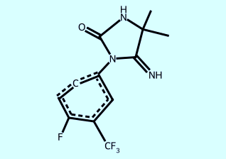 CC1(C)NC(=O)N(c2ccc(F)c(C(F)(F)F)c2)C1=N